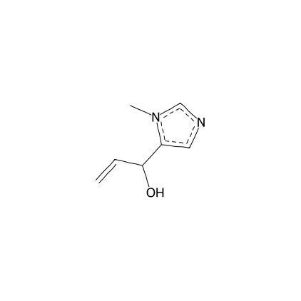 C=CC(O)c1cncn1C